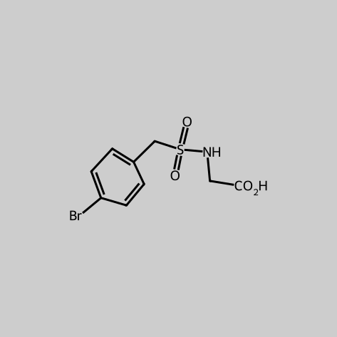 O=C(O)CNS(=O)(=O)Cc1ccc(Br)cc1